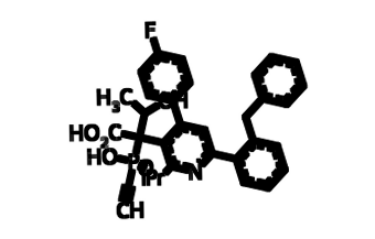 C#CP(=O)(O)C(C(=O)O)(c1c(-c2ccc(F)cc2)cc(-c2ccccc2Cc2ccccc2)nc1C(C)C)C(C)O